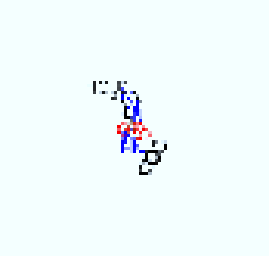 O=C(Nc1c2c(cc3c1CCC3)CCC2)NS(=O)(=O)c1cc2n(n1)CCN(C(=O)O)C2